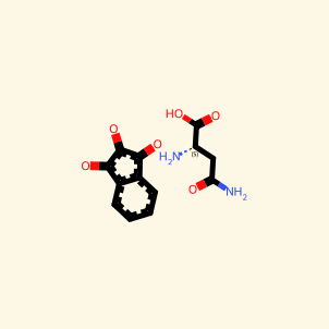 NC(=O)C[C@H](N)C(=O)O.O=c1c(=O)c2ccccc2c1=O